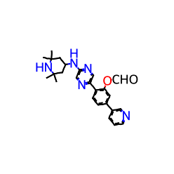 CC1(C)CC(Nc2cnc(-c3ccc(-c4cccnc4)cc3OC=O)cn2)CC(C)(C)N1